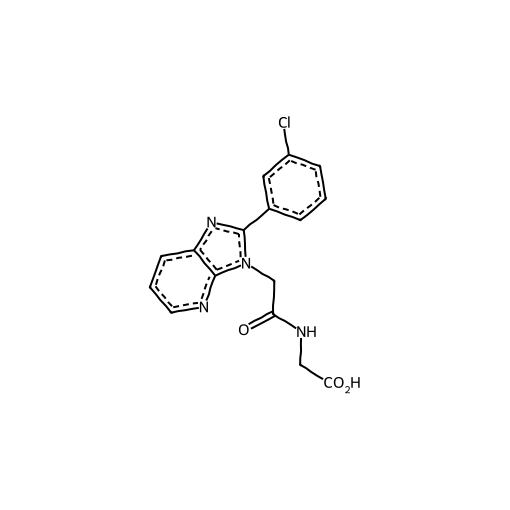 O=C(O)CNC(=O)Cn1c(-c2cccc(Cl)c2)nc2cccnc21